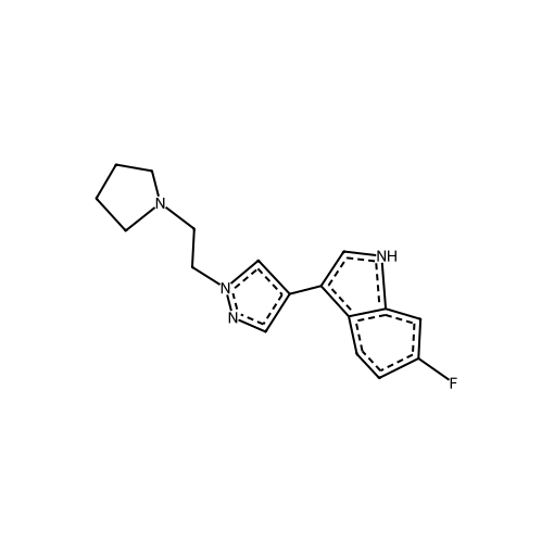 Fc1ccc2c(-c3cnn(CCN4CCCC4)c3)c[nH]c2c1